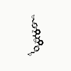 COCCN1CCN(c2cccc(C(C)C(=O)C(C)c3cccc(N4CCN(CCOC)CC4)c3F)c2F)CC1